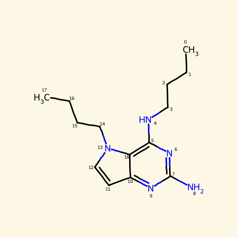 CCCCNc1nc(N)nc2ccn(CCCC)c12